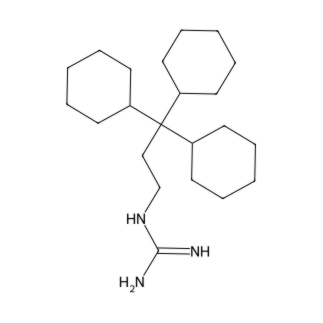 N=C(N)NCCC(C1CCCCC1)(C1CCCCC1)C1CCCCC1